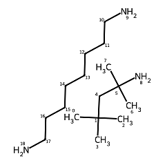 CC(C)(C)CC(C)(C)N.NCCCCCCCCN